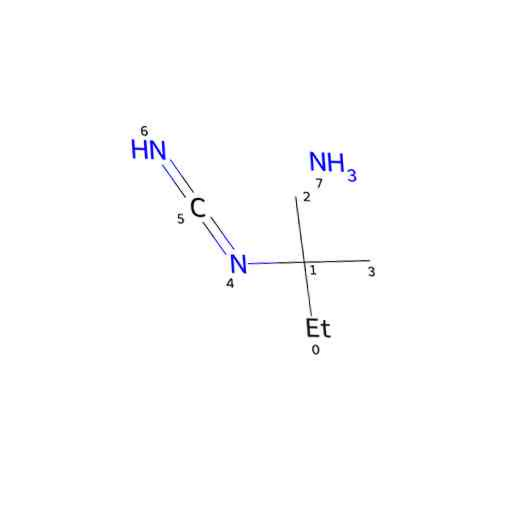 CCC(C)(C)N=C=N.N